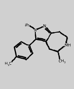 Cc1ccc(-c2c3c(nn2C(C)C)CCNC(C)C3)cc1